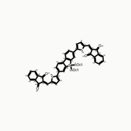 CCCCCCCC[Si]1(CCCCCCCC)c2cc(-c3ccc(C=C4C(=O)c5ccccc5C4=O)s3)ccc2-c2ccc(-c3ccc(C=C4C(=O)c5ccccc5C4=O)s3)cc21